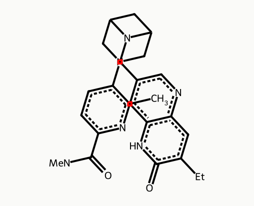 CCc1cc2ncc(CN3C4CC3CN(c3ccc(C(=O)NC)nc3C)C4)cc2[nH]c1=O